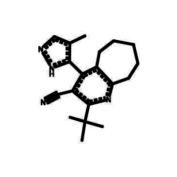 Cc1cn[nH]c1-c1c(C#N)c(C(C)(C)C)nc2c1CCCCC2